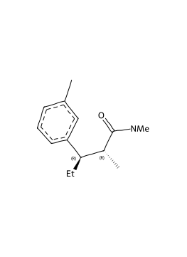 CC[C@@H](c1cccc(C)c1)[C@@H](C)C(=O)NC